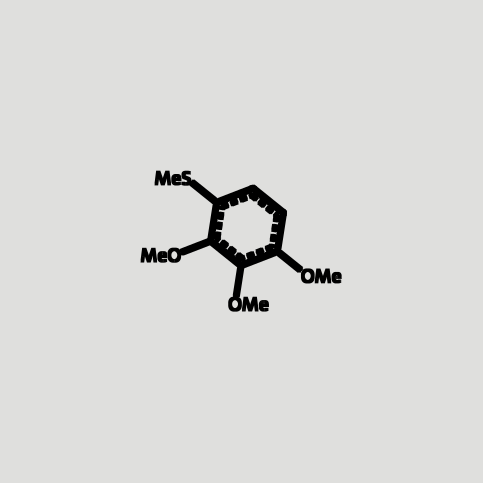 [CH2]Sc1ccc(OC)c(OC)c1OC